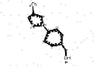 N#Cc1cnn(-c2ccc(CO)cc2)c1